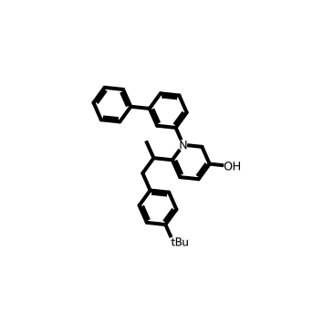 CC(Cc1ccc(C(C)(C)C)cc1)C1=CC=C(O)CN1c1cccc(-c2ccccc2)c1